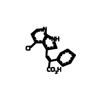 O=C(O)C(=Cc1c[nH]c2nccc(Cl)c12)c1ccccc1